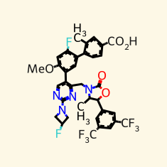 COc1cc(F)c(-c2ccc(C(=O)O)cc2C)cc1-c1cnc(N2CC(F)C2)nc1CN1C(=O)OC(c2cc(C(F)(F)F)cc(C(F)(F)F)c2)C1C